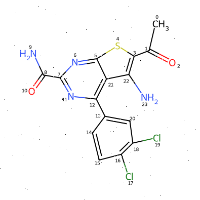 CC(=O)c1sc2nc(C(N)=O)nc(-c3ccc(Cl)c(Cl)c3)c2c1N